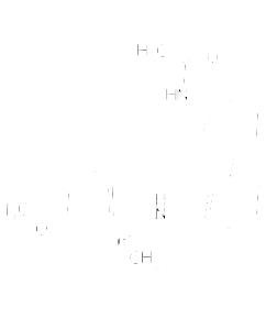 COc1cccc([C@@H](C)NCc2cccc(-c3cccc(NC(C)=O)c3)c2)c1